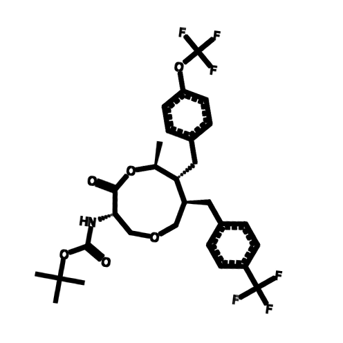 C[C@@H]1OC(=O)[C@@H](NC(=O)OC(C)(C)C)COC[C@H](Cc2ccc(C(F)(F)F)cc2)[C@H]1Cc1ccc(OC(F)(F)F)cc1